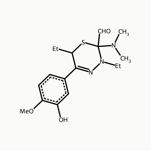 CCC1SC(C=O)(N(C)C)N(CC)N=C1c1ccc(OC)c(O)c1